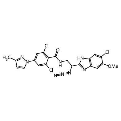 COc1cc2nc(C(CNC(=O)c3c(Cl)cc(-n4cnc(C)n4)cc3Cl)N=[N+]=[N-])[nH]c2cc1Cl